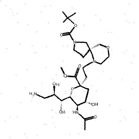 COC(=O)[C@@]1(CCN2CCOC[C@@]23CCN(C(=O)OC(C)(C)C)C3)C[C@H](O)[C@@H](NC(C)=O)[C@H]([C@H](O)[C@H](O)CN)O1